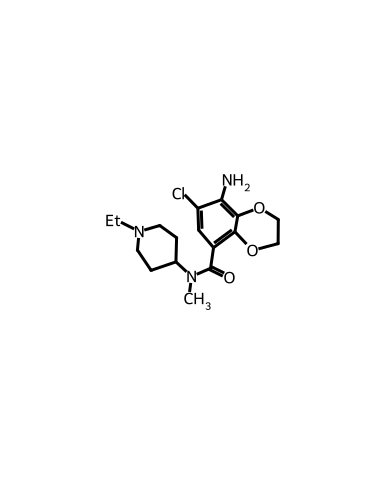 CCN1CCC(N(C)C(=O)c2cc(Cl)c(N)c3c2OCCO3)CC1